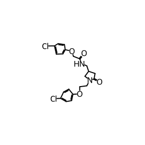 O=C(COc1ccc(Cl)cc1)NCC1CC(=O)N(CCOc2ccc(Cl)cc2)C1